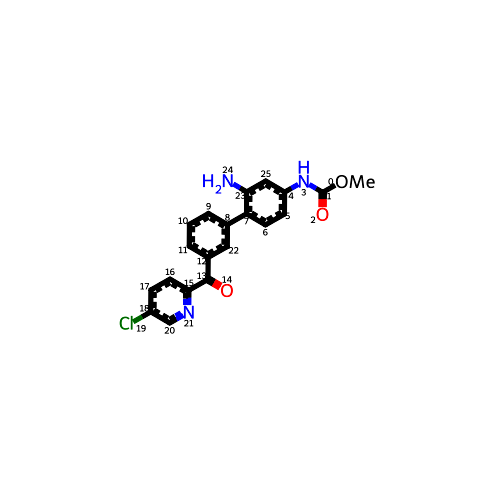 COC(=O)Nc1ccc(-c2cccc(C(=O)c3ccc(Cl)cn3)c2)c(N)c1